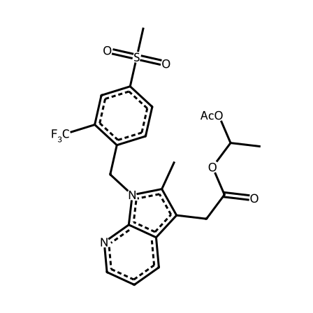 CC(=O)OC(C)OC(=O)Cc1c(C)n(Cc2ccc(S(C)(=O)=O)cc2C(F)(F)F)c2ncccc12